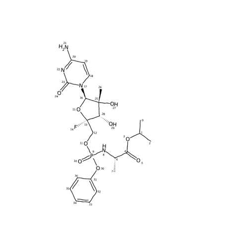 CC(C)OC(=O)[C@H](C)NP(=O)(OC[C@@]1(F)O[C@@H](n2ccc(N)nc2=O)[C@](C)(O)[C@@H]1O)Oc1ccccc1